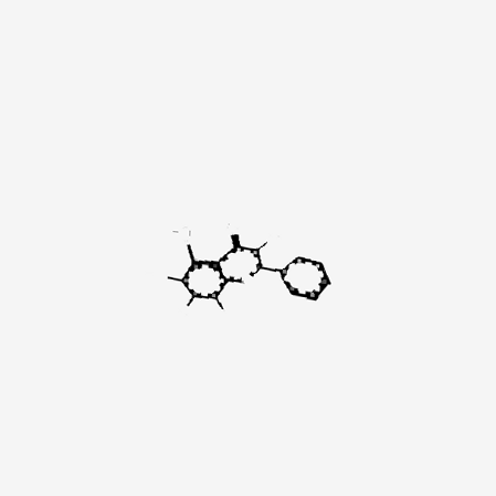 Cc1c(O)c(O)c2oc(-c3ccccc3)c(O)c(=O)c2c1O